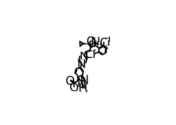 Cn1nc2cc(N3CCN(CCc4c(-c5c(Cl)cccc5Cl)noc4C4CC4)CC3)ccc2c1C(=O)O